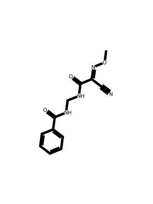 CO/N=C(\C#N)C(=O)NCNC(=O)c1ccccc1